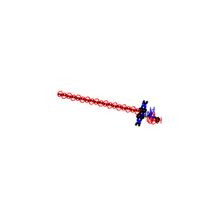 CCC(CC)N1Cc2ccc3c4c(SCC(NC(C)=O)C(=O)NC(Cc5ccccc5)C(=O)O)cc5c6c(ccc(c7c(OCCOCCOCCOCCOCCOCCOCCOCCOCCOCCOCCOCCOCCOCCOCCOCCOCCOC)cc(c2c37)C1)c64)CN(C(CC)CC)C5